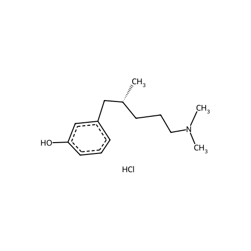 C[C@H](CCCN(C)C)Cc1cccc(O)c1.Cl